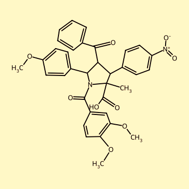 COc1ccc(C2C(C(=O)c3ccccc3)C(c3ccc([N+](=O)[O-])cc3)C(C)(C(=O)O)N2C(=O)c2ccc(OC)c(OC)c2)cc1